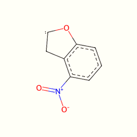 O=[N+]([O-])c1cccc2c1C[C]O2